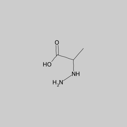 CC(NN)C(=O)O